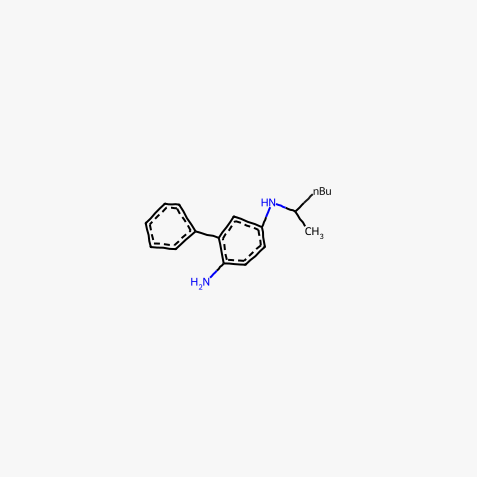 CCCCC(C)Nc1ccc(N)c(-c2ccccc2)c1